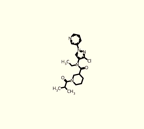 CCN(C(=O)C1CCCN(C(=O)C(C)C)C1)c1cn(-c2cccnc2)nc1Cl